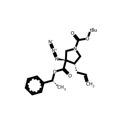 C=CC[C@H]1CN(C(=O)OC(C)(C)C)C[C@@]1(N=[N+]=[N-])C(=O)O[C@H](C)c1ccccc1